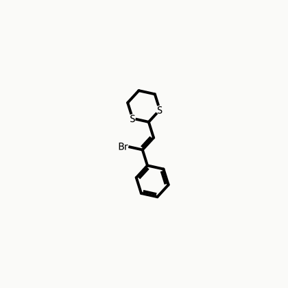 BrC(=CC1SCCCS1)c1ccccc1